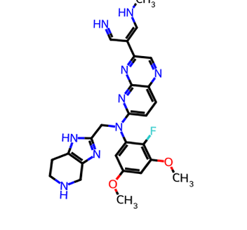 CN/C=C(\C=N)c1cnc2ccc(N(Cc3nc4c([nH]3)CCNC4)c3cc(OC)cc(OC)c3F)nc2n1